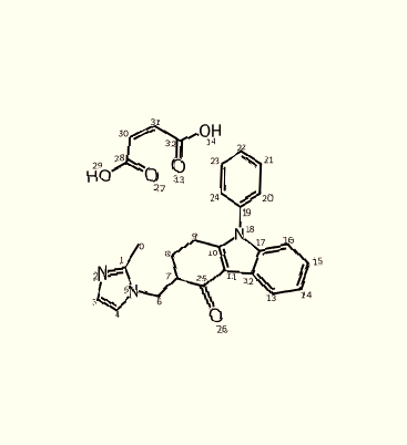 Cc1nccn1CC1CCc2c(c3ccccc3n2-c2ccccc2)C1=O.O=C(O)/C=C\C(=O)O